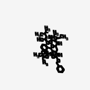 CC[C@H](C)[C@H](NC(=O)CC(NC(=O)OCc1ccccc1)[C@H](Cc1ccccc1)NC(=O)OC(C)(C)C)C(=O)N[C@H](C(=O)O)C(C)C